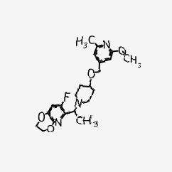 COc1cc(COC2CCN(C(C)c3nc4c(cc3F)OCCO4)CC2)cc(C)n1